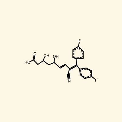 N#CC(/C=C/C(O)CC(O)CC(=O)O)=C(c1ccc(F)cc1)c1ccc(F)cc1